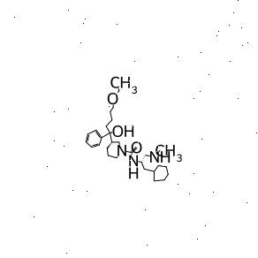 CCOCCCC[C@@](O)(c1ccccc1)[C@@H]1CCCN(C(=O)N[C@H](CNC)CC2CCCCC2)C1